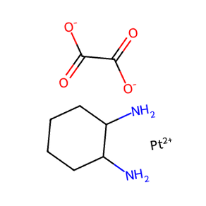 NC1CCCCC1N.O=C([O-])C(=O)[O-].[Pt+2]